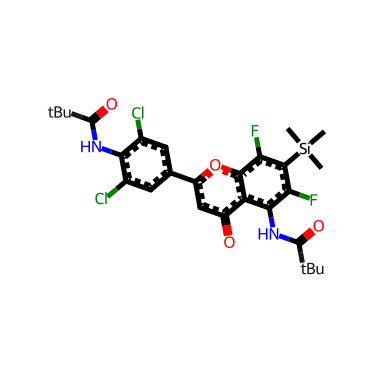 CC(C)(C)C(=O)Nc1c(Cl)cc(-c2cc(=O)c3c(NC(=O)C(C)(C)C)c(F)c([Si](C)(C)C)c(F)c3o2)cc1Cl